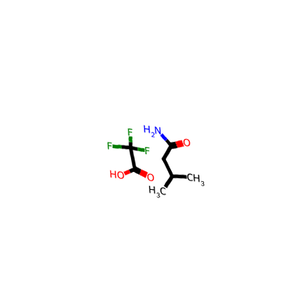 CC(C)CC(N)=O.O=C(O)C(F)(F)F